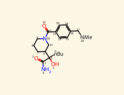 CCCCC(O)(C(N)=O)C1CCCN(C(=O)c2ccc(CNC)cc2)C1